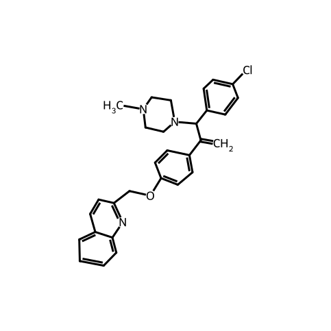 C=C(c1ccc(OCc2ccc3ccccc3n2)cc1)C(c1ccc(Cl)cc1)N1CCN(C)CC1